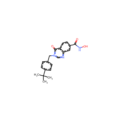 CC(C)(C)c1ccc(Cn2cnc3cc(C(=O)NO)ccc3c2=O)cc1